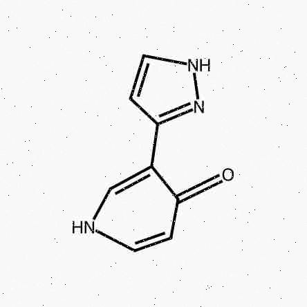 O=c1cc[nH]cc1-c1cc[nH]n1